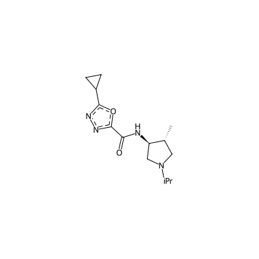 CC(C)N1C[C@@H](C)[C@H](NC(=O)c2nnc(C3CC3)o2)C1